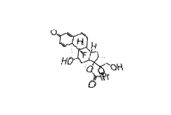 CC(C)C(=O)O[C@]1(C(=O)CO)[C@@H](C)C[C@H]2[C@@H]3CCC4=CC(=O)C=C[C@]4(C)[C@@]3(F)C(O)C[C@@]21C